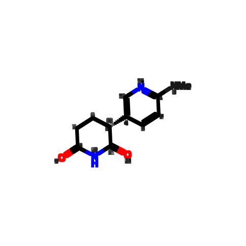 CNc1ccc([C@H]2CCC(=O)NC2=O)cn1